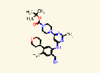 Cc1nc(Nc2cc(C3CCOCC3)c(C)cc2C=N)cc(N2CCN(C(=O)OC(C)(C)C)CC2)n1